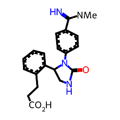 CNC(=N)c1ccc(N2C(=O)NCC2c2ccccc2CCC(=O)O)cc1